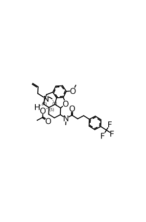 C=CCN1CC[C@]23c4c5ccc(OC)c4OC2C(N(C)C(=O)CCc2ccc(C(F)(F)F)cc2)CC[C@@]3(OC(C)=O)[C@H]1C5